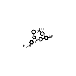 COc1ccc([C@@H]2CN(C3CCCCC3)C[C@H]2C(=O)N2CCC(c3ccc(C(F)(F)F)cc3N3CCC(C(=O)O)CC3)CC2)cc1